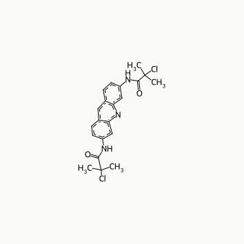 CC(C)(Cl)C(=O)Nc1ccc2cc3ccc(NC(=O)C(C)(C)Cl)cc3nc2c1